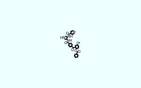 COc1ccc(OC(=O)c2ccccc2)c(C(=O)c2ccc(C(=O)N[C@@H]3CNC[C@H]3NC(=O)c3ccncc3)cc2)c1